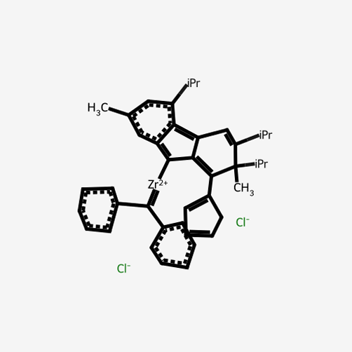 Cc1cc(C(C)C)c2c(c1)=[C]([Zr+2]=[C](c1ccccc1)c1ccccc1)C1=C(C3=CC=CC3)C(C)(C(C)C)C(C(C)C)=CC=21.[Cl-].[Cl-]